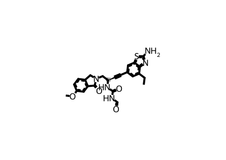 CCc1cc(C#C[C@H](CN2Cc3ccc(OC)cc3C2=O)NC(=O)NC=O)cc2sc(N)nc12